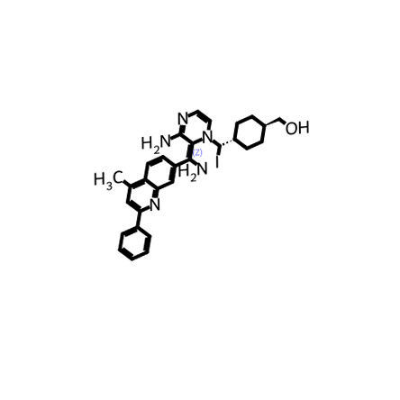 Cc1cc(-c2ccccc2)nc2cc(/C(N)=C3\C(N)=NC=CN3C(I)[C@H]3CC[C@H](CO)CC3)ccc12